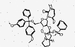 COc1ccc(C(OC[C@H]2O[C@@H](n3c(=O)cc[nH]c3=O)[C@@H](OC(C)=O)[C@@H]2O[P@]2O[C@H](CS(=O)(=O)c3ccccc3)[C@@H]3CCCN32)(c2ccccc2)c2ccc(OC)cc2)cc1